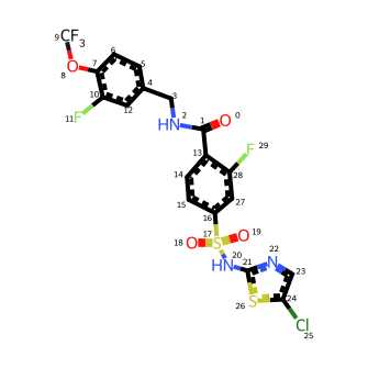 O=C(NCc1ccc(OC(F)(F)F)c(F)c1)c1ccc(S(=O)(=O)Nc2ncc(Cl)s2)cc1F